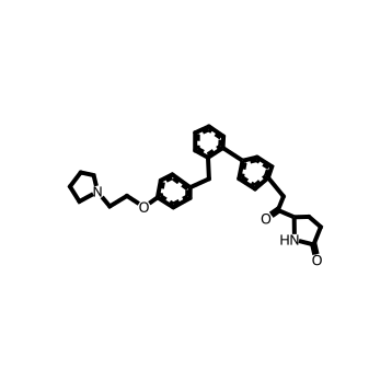 O=C1CCC(C(=O)Cc2ccc(-c3ccccc3Cc3ccc(OCCN4CCCC4)cc3)cc2)N1